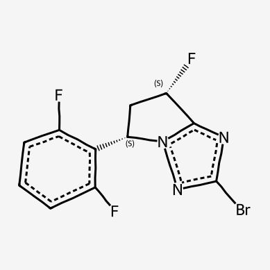 Fc1cccc(F)c1[C@@H]1C[C@H](F)c2nc(Br)nn21